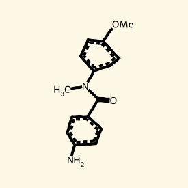 COc1ccc(N(C)C(=O)c2ccc(N)cc2)cc1